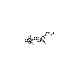 COc1cc(C(=O)NS(=O)(=O)c2ccccc2C)ccc1Cc1cn(C)c2ccc(C=NC(=O)O)cc12